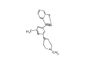 Cc1cc(-c2csc3ccccc23)cc(N2CCN(C)CC2)n1